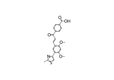 COc1cc(OC)c(-c2csc(C)n2)cc1/C=C/C(=O)c1ccc(C(=O)O)cc1